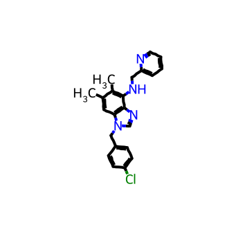 Cc1cc2c(ncn2Cc2ccc(Cl)cc2)c(NCc2ccccn2)c1C